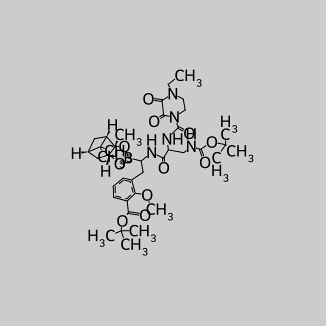 CCN1CCN(C(=O)NC(CNC(=O)OC(C)(C)C)C(=O)NC(Cc2cccc(C(=O)OC(C)(C)C)c2OC)B2O[C@@H]3C[C@@H]4C[C@@H](C4(C)C)[C@]3(C)O2)C(=O)C1=O